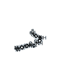 O=C(Nc1ccc2[nH]nc(-c3ccc(OC(F)(F)F)cc3)c2c1)[C@@H]1CCN(CC(=O)N2CCN(c3ccc(-c4cnccn4)cc3)CC2)C1